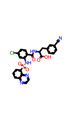 N#Cc1cccc(CC(NC(=O)c2ccc(Cl)cc2NS(=O)(=O)c2cccc3nccnc23)C(=O)O)c1